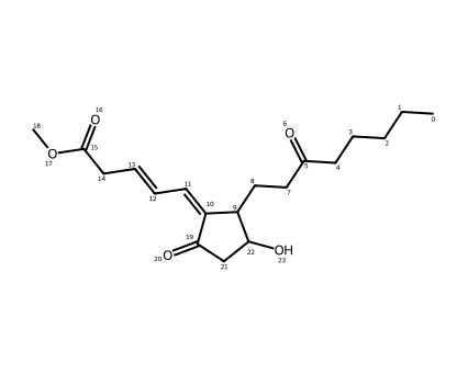 CCCCCC(=O)CCC1C(=CC=CCC(=O)OC)C(=O)CC1O